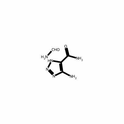 NC(=O)c1[nH]nnc1N.NC=O